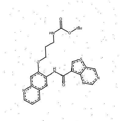 CC(C)(C)OC(=O)NCCCOc1cc2ncccc2cc1NC(=O)c1csc2cncnc12